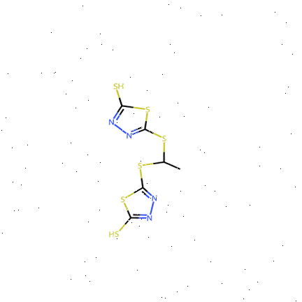 CC(Sc1nnc(S)s1)Sc1nnc(S)s1